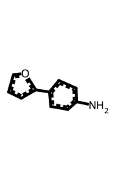 Nc1ccc(-c2ccco2)cc1